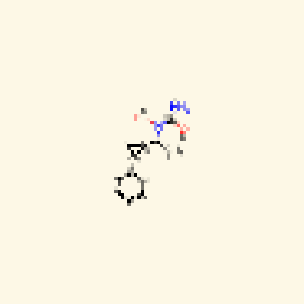 CC([C@@H]1C[C@H]1c1ccccc1)N(O)C(N)=O